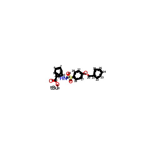 CC(C)(C)OC(=O)C1C2C=CC(C2)C1NS(=O)(=O)c1ccc(OCc2ccccc2)cc1